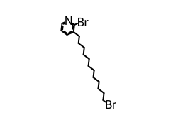 BrCCCCCCCCCCCCc1cccnc1Br